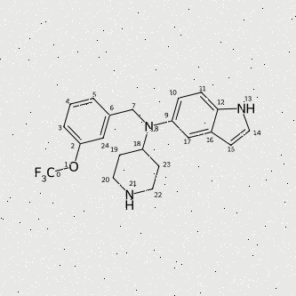 FC(F)(F)Oc1cccc(CN(c2ccc3[nH]ccc3c2)C2CCNCC2)c1